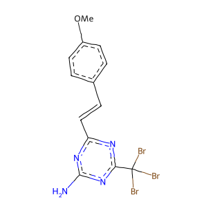 COc1ccc(C=Cc2nc(N)nc(C(Br)(Br)Br)n2)cc1